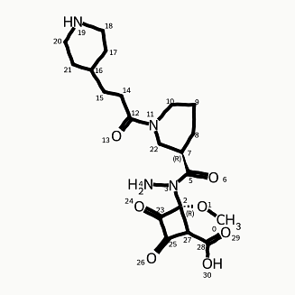 CO[C@@]1(N(N)C(=O)[C@@H]2CCCN(C(=O)CCC3CCNCC3)C2)C(=O)C(=O)C1C(=O)O